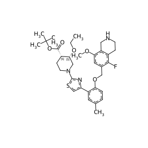 CCO[C@@H]1CN(c2nc(-c3cc(C)ccc3OCc3cc(OC)c4c(c3F)CCNC4)cs2)CC[C@@H]1C(=O)OC(C)(C)C